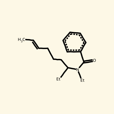 CC=CCCCC(CC)N(CC)C(=O)c1ccccc1